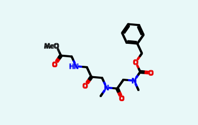 COC(=O)CNCC(=O)CN(C)C(=O)CN(C)C(=O)OCc1ccccc1